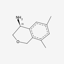 Cc1cc(C)c2c(c1)[C@H](N)COC2